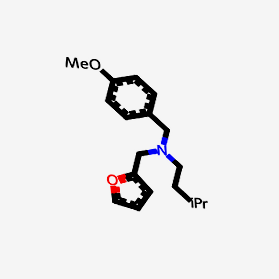 COc1ccc(CN(CCC(C)C)Cc2ccco2)cc1